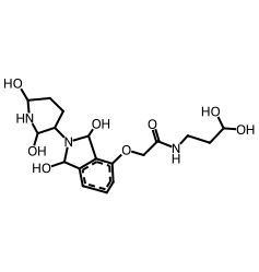 O=C(COc1cccc2c1C(O)N(C1CCC(O)NC1O)C2O)NCCC(O)O